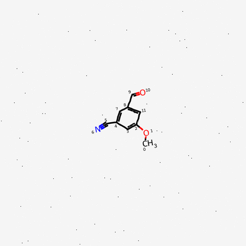 COc1cc(C#N)cc(C=O)c1